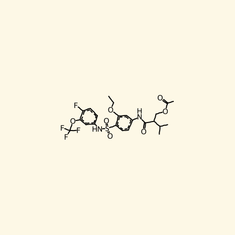 CCOc1cc(NC(=O)C(COC(C)=O)C(C)C)ccc1S(=O)(=O)Nc1ccc(F)c(OC(F)(F)F)c1